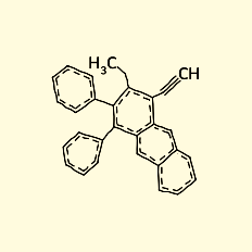 C#Cc1c(CC)c(-c2ccccc2)c(-c2ccccc2)c2cc3ccccc3cc12